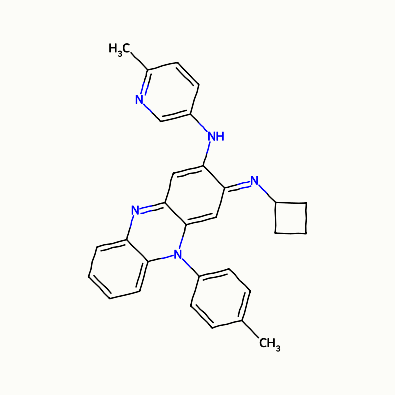 Cc1ccc(-n2c3c/c(=N\C4CCC4)c(Nc4ccc(C)nc4)cc-3nc3ccccc32)cc1